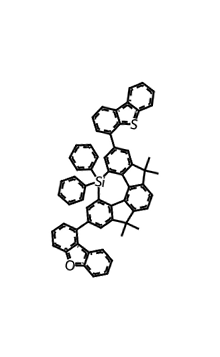 CC1(C)c2cc(-c3cccc4c3sc3ccccc34)cc3c2-c2c1ccc1c2-c2c(cc(-c4cccc5oc6ccccc6c45)cc2[Si]3(c2ccccc2)c2ccccc2)C1(C)C